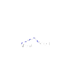 CCCCC/C=C\C/C=C/C/C=C/C/C=C\C/C=C/CCC(=O)O